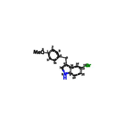 COc1ccc(Cc2c[nH]c3ccc(Br)cc23)cc1